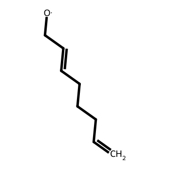 C=CCCC/C=C/C[O]